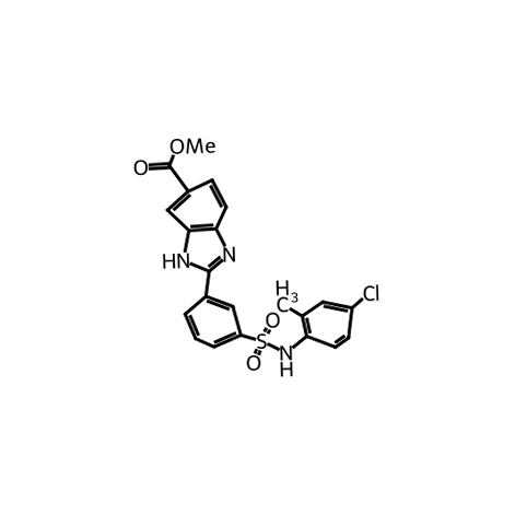 COC(=O)c1ccc2nc(-c3cccc(S(=O)(=O)Nc4ccc(Cl)cc4C)c3)[nH]c2c1